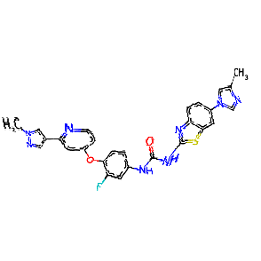 Cc1cn(-c2ccc3nc(NC(=O)Nc4ccc(Oc5ccnc(-c6cnn(C)c6)c5)c(F)c4)sc3c2)cn1